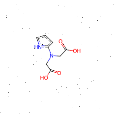 O=C(O)CN(CC(=O)O)c1ccc[nH]1